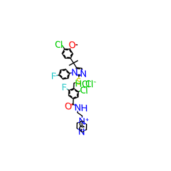 COc1cc(C(C)(C)c2cnc(SCc3c(F)cc(C(=O)NCC[N+]45CCN(CC4)CC5)cc3Cl)n2-c2ccc(F)cc2)ccc1Cl.Cl.[Cl-]